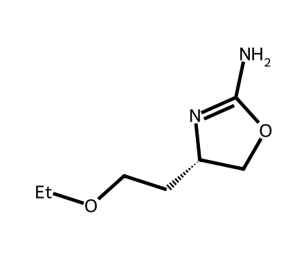 CCOCC[C@H]1COC(N)=N1